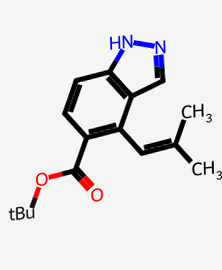 CC(C)=Cc1c(C(=O)OC(C)(C)C)ccc2[nH]ncc12